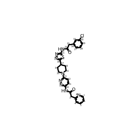 O=C(Cc1ccccn1)Nc1ccc(N2CCC(c3nnc(NC(=O)Cc4cccc(Cl)c4)s3)CC2)nn1